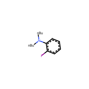 CCCCN(CCCC)c1[c]cccc1I